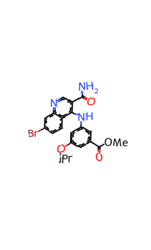 COC(=O)c1cc(Nc2c(C(N)=O)cnc3cc(Br)ccc23)cc(OC(C)C)c1